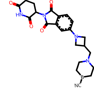 N#CB1CCN(CC2CN(c3ccc4c(c3)C(=O)N(C3CCC(=O)NC3=O)C4=O)C2)CC1